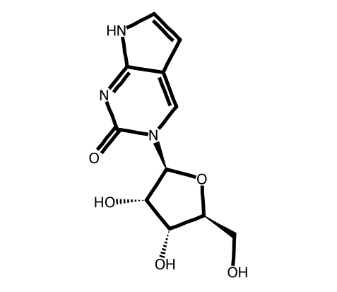 O=c1nc2[nH]ccc2cn1[C@H]1O[C@@H](CO)[C@H](O)[C@@H]1O